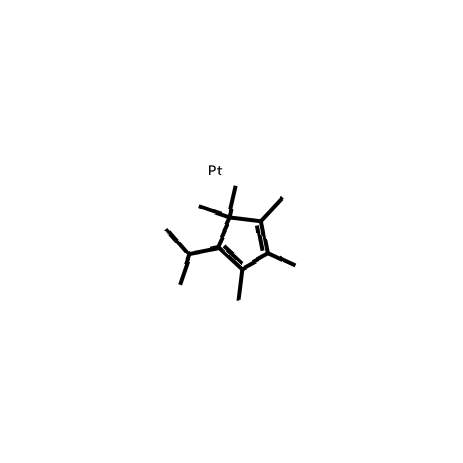 CC1=C(C)C(C)(C)C(C(C)C)=C1C.[Pt]